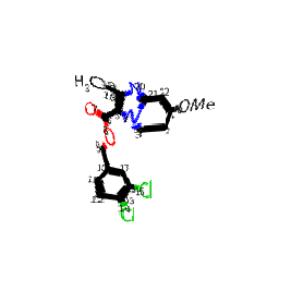 COc1ccn2c(C(=O)OCc3ccc(Cl)c(Cl)c3)c(C)nc2c1